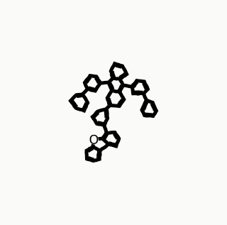 c1ccc(-c2cccc(-c3c4ccccc4c(-c4cccc(-c5ccccc5)c4)c4cc(-c5cccc(-c6cccc7c6oc6ccccc67)c5)ccc34)c2)cc1